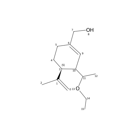 C=C(C)[C@H]1CCC(CO)=CC1C(C)OCC